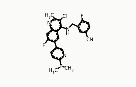 Cc1nc2cc(F)c(-c3ccc(P(C)C)nc3)cc2c(NCc2cc(C#N)ccc2F)c1Cl